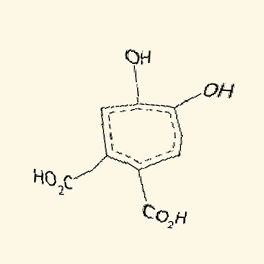 O=C(O)c1cc(O)c(O)cc1C(=O)O